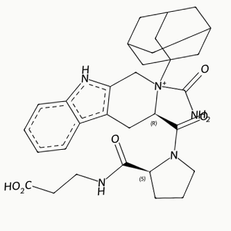 NC(=O)[N+]1(C23CC4CC(CC(C4)C2)C3)Cc2[nH]c3ccccc3c2C[C@@H]1C(=O)N1CCC[C@H]1C(=O)NCCC(=O)O